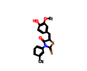 CCOc1cc(C=C2SC(=S)N(c3cccc(C#N)c3)C2=O)ccc1O